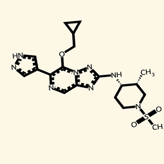 C[C@@H]1CN(S(C)(=O)=O)CC[C@@H]1Nc1nc2cnc(-c3cn[nH]c3)c(OCC3CC3)n2n1